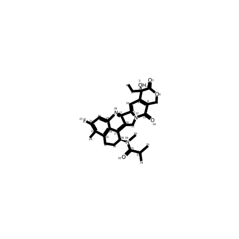 CC[C@@]1(O)C(=O)OCc2c1cc1n(c2=O)Cc2c-1nc1cc(F)c(C)c3c1c2[C@@H](N(C)C(=O)C(C)C)CC3